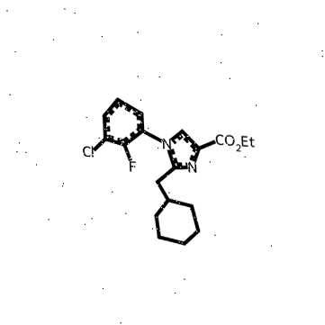 CCOC(=O)c1cn(-c2cccc(Cl)c2F)c(CC2CCCCC2)n1